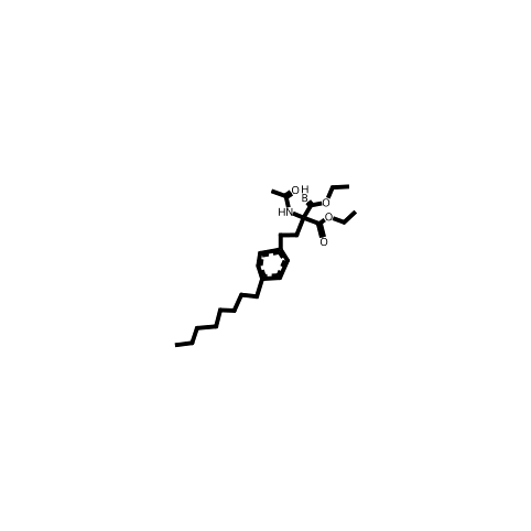 B=C(OCC)C(CCc1ccc(CCCCCCCC)cc1)(NC(C)=O)C(=O)OCC